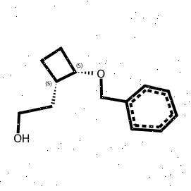 OCC[C@@H]1CC[C@@H]1OCc1ccccc1